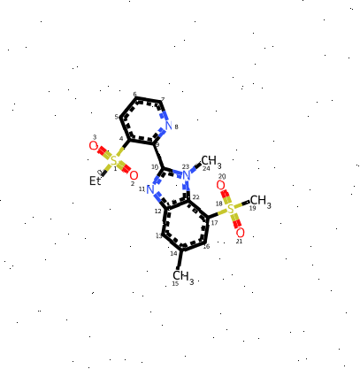 CCS(=O)(=O)c1cccnc1-c1nc2cc(C)cc(S(C)(=O)=O)c2n1C